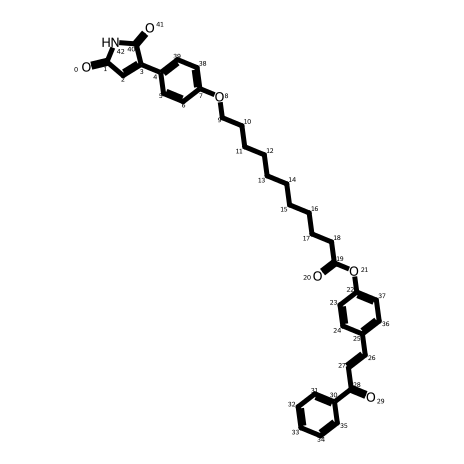 O=C1C=C(c2ccc(OCCCCCCCCCCC(=O)Oc3ccc(C=CC(=O)c4ccccc4)cc3)cc2)C(=O)N1